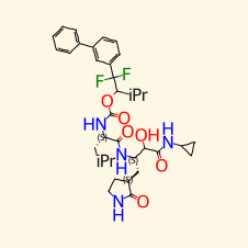 CC(C)C[C@H](NC(=O)OC(C(C)C)C(F)(F)c1cccc(-c2ccccc2)c1)C(=O)N[C@@H](C[C@@H]1CCNC1=O)C(O)C(=O)NC1CC1